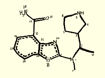 CC(C1CCNC1)N(C)c1nc2c(C(N)=O)[c]ccc2o1